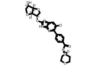 O=C(N=S1(=O)CCOCC1)c1ccc(-c2nc3[nH]c(O[C@@H]4CO[C@H]5[C@@H]4OC[C@H]5O)nc3cc2Cl)cc1